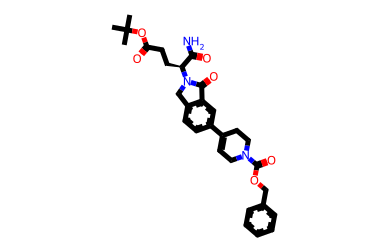 CC(C)(C)OC(=O)CC[C@@H](C(N)=O)N1Cc2ccc(C3=CCN(C(=O)OCc4ccccc4)CC3)cc2C1=O